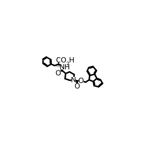 O=C(N[C@@H](Cc1ccccc1)C(=O)O)C1CCN(C(=O)OCC2c3ccccc3-c3ccccc32)CC1